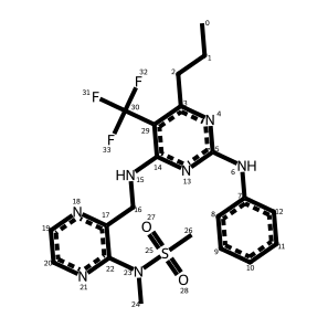 CCCc1nc(Nc2ccccc2)nc(NCc2nccnc2N(C)S(C)(=O)=O)c1C(F)(F)F